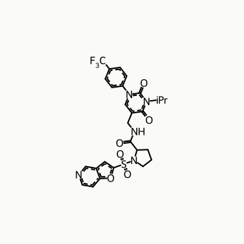 CC(C)n1c(=O)c(CNC(=O)C2CCCN2S(=O)(=O)c2cc3cnccc3o2)cn(-c2ccc(C(F)(F)F)cc2)c1=O